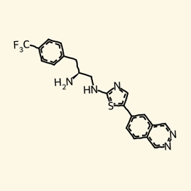 N[C@H](CNc1ncc(-c2ccc3cnncc3c2)s1)Cc1ccc(C(F)(F)F)cc1